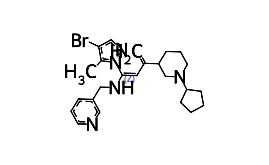 C=C(/C=C(/NCc1cccnc1)n1ncc(Br)c1C)C1CCCN(C2CCCC2)C1